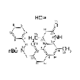 CCCCN(Cc1ccccc1)CC1CCc2cc(C)c3c(c2C1=O)C(C)CC(=O)N3.Cl